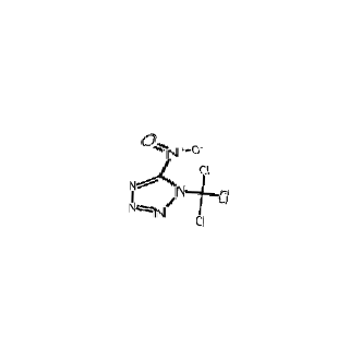 O=[N+]([O-])c1nnnn1C(Cl)(Cl)Cl